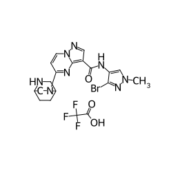 Cn1cc(NC(=O)c2cnn3ccc(N4CC5CCC4CN5)nc23)c(Br)n1.O=C(O)C(F)(F)F